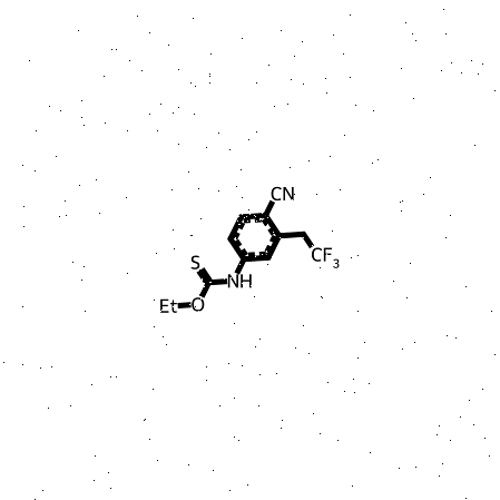 CCOC(=S)Nc1ccc(C#N)c(CC(F)(F)F)c1